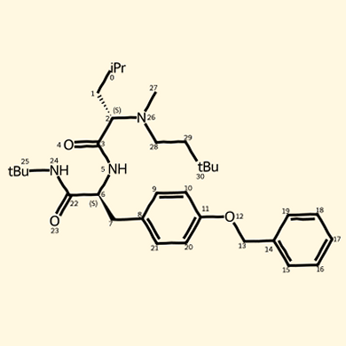 CC(C)C[C@@H](C(=O)N[C@@H](Cc1ccc(OCc2ccccc2)cc1)C(=O)NC(C)(C)C)N(C)CCC(C)(C)C